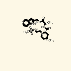 C[C@H]1CCN(CCNS(C)(=O)=O)[C@@H](C(=O)N[C@@H](C)C(=O)NCc2cc3cnccc3[nH]2)C1